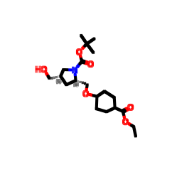 CCOC(=O)C1CCC(OC[C@@H]2C[C@H](CO)CN2C(=O)OC(C)(C)C)CC1